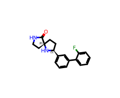 O=C1NCC[C@]12CC[C@@H](c1cccc(-c3ccccc3F)c1)N2